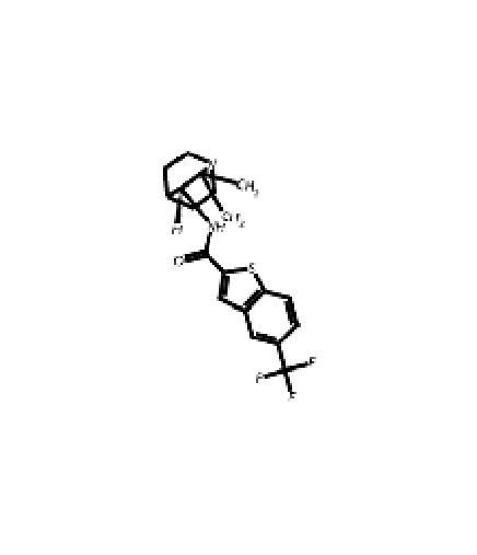 CC1(C)[C@H](NC(=O)c2cc3cc(C(F)(F)F)ccc3s2)C2CCN1CC2